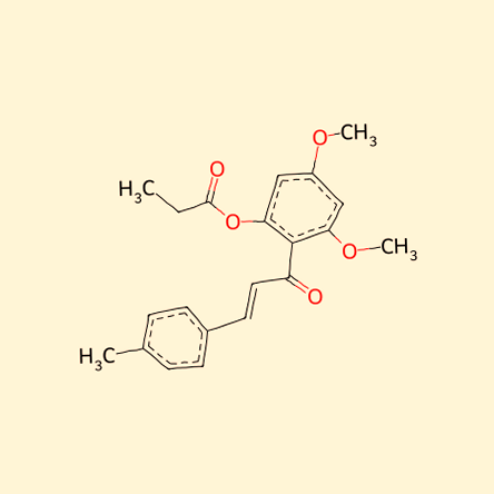 CCC(=O)Oc1cc(OC)cc(OC)c1C(=O)C=Cc1ccc(C)cc1